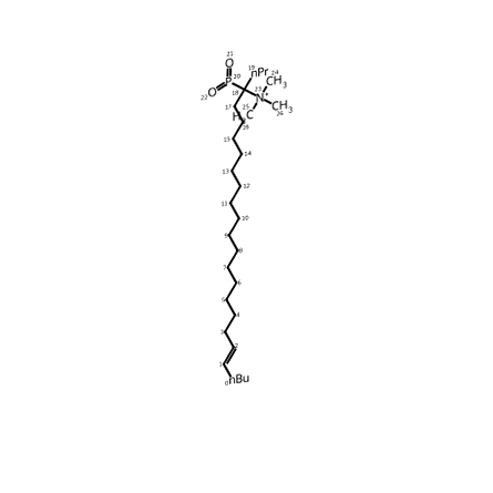 CCCCC=CCCCCCCCCCCCCCCCC(CCC)(P(=O)=O)[N+](C)(C)C